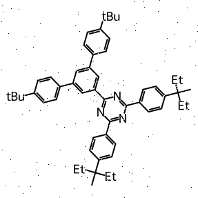 CCC(C)(CC)c1ccc(-c2nc(-c3ccc(C(C)(CC)CC)cc3)nc(-c3cc(-c4ccc(C(C)(C)C)cc4)cc(-c4ccc(C(C)(C)C)cc4)c3)n2)cc1